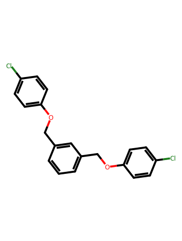 Clc1ccc(OCc2cccc(COc3ccc(Cl)cc3)c2)cc1